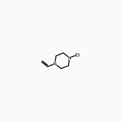 C=CN1CCN(CC)CC1